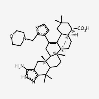 CC1(C)CC2C3=C(c4ccsc4CN4CCOCC4)CC4[C@@]5(C)Cc6c(n[nH]c6N)C(C)(C)C5CC[C@@]4(C)[C@]3(C)CC[C@@H]2[C@H](C(=O)O)C1